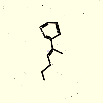 CCC/C=C(\C)c1cc[c]cc1